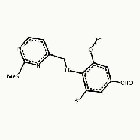 CCOc1cc(C=O)cc(Br)c1OCc1ccnc(SC)n1